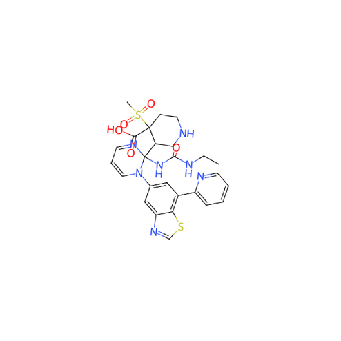 CCNC(=O)NC1(C2CNCCC2(C(=O)O)S(C)(=O)=O)N=CC=CN1c1cc(-c2ccccn2)c2scnc2c1